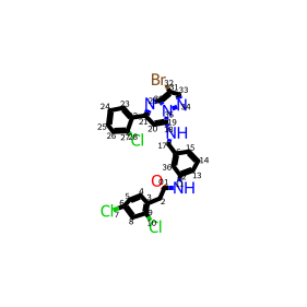 O=C(Cc1ccc(Cl)cc1Cl)Nc1cccc(CNc2cc(-c3ccccc3Cl)nc3c(Br)cnn23)c1